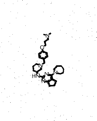 CN(C)CCCOc1ccc(CN2CCCC(Nc3nc4c(c(N5CCCCCC5)n3)CCC4)C2)cc1